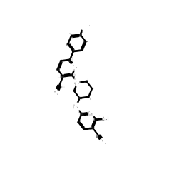 N#Cc1ccc(NC2CCCN(c3nc(-c4ccc(F)cc4)ccc3C#N)C2)nc1N